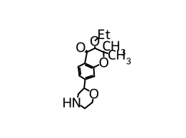 CCOC1C(=O)c2ccc(C3CNCCO3)cc2OC1(C)C